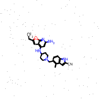 Cc1c(CN2CCC(Nc3cc(N)nc4oc(CC(F)(F)F)cc34)CC2)ccc2[nH]c(C#N)cc12